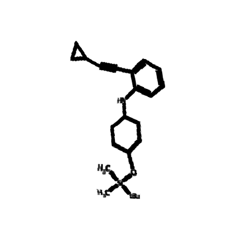 CC(C)(C)[Si](C)(C)OC1CCC(Nc2ccccc2C#CC2CC2)CC1